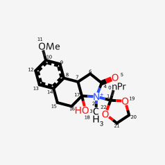 CCCC1([N+]2(C)C(=O)CC3c4cc(OC)ccc4CCC32O)OCCO1